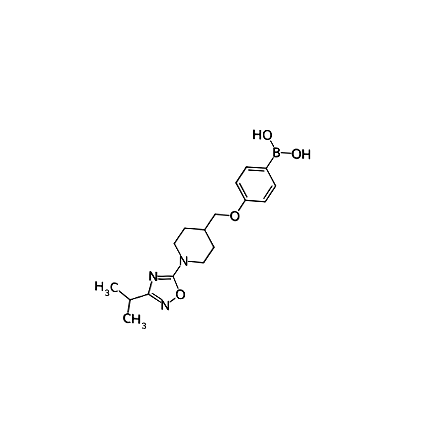 CC(C)c1noc(N2CCC(COc3ccc(B(O)O)cc3)CC2)n1